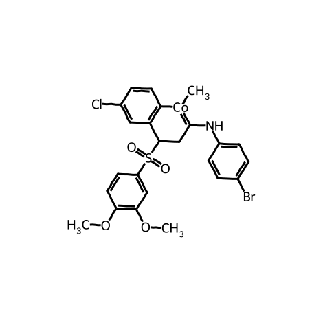 COc1ccc(S(=O)(=O)C2C[C](Nc3ccc(Br)cc3)=[Co]([CH3])[c]3ccc(Cl)cc32)cc1OC